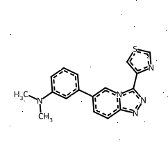 CN(C)c1cccc(-c2ccc3nnc(-c4cscn4)n3c2)c1